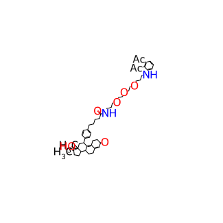 CC(=O)c1cccc(NCCCOCCOCCOCCCNC(=O)CCCCc2ccc(C3CC4(C)C(CCC4(C)O)C4CCC5=CC(=O)CCC5=C34)cc2)c1C(C)=O